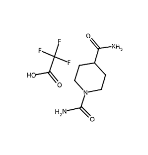 NC(=O)C1CCN(C(N)=O)CC1.O=C(O)C(F)(F)F